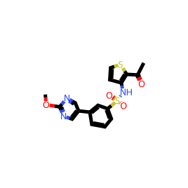 COc1ncc(-c2cccc(S(=O)(=O)Nc3ccsc3C(C)=O)c2)cn1